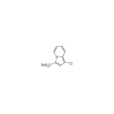 CCOC(=O)c1cc(Cl)c2ccccn12